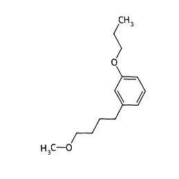 CCCOc1cccc(CCCCOC)c1